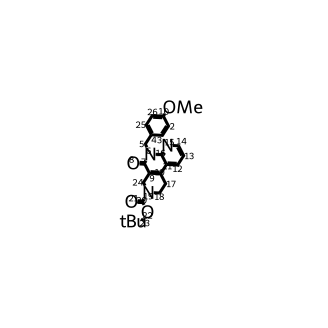 COc1ccc(Cn2c(=O)c3c(c4cccnc42)CCN(C(=O)OC(C)(C)C)C3)cc1